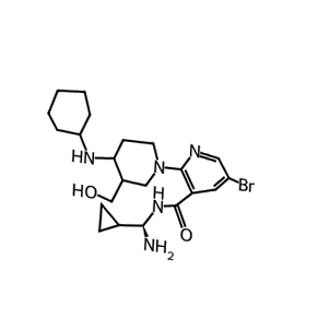 N[C@H](NC(=O)c1cc(Br)cnc1N1CCC(NC2CCCCC2)C(CO)C1)C1CC1